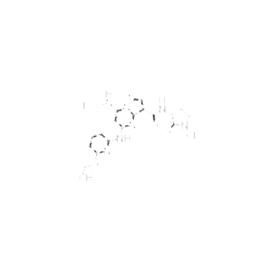 CCOc1cccc(Nc2cc(NC)n3ncc(C(=O)N[C@@H]4CCN(C)C4=O)c3n2)n1